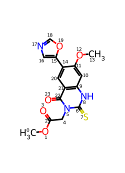 COC(=O)Cn1c(=S)[nH]c2cc(OC)c(-c3cnco3)cc2c1=O